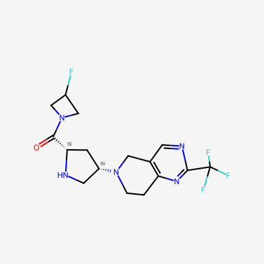 O=C([C@@H]1C[C@H](N2CCc3nc(C(F)(F)F)ncc3C2)CN1)N1CC(F)C1